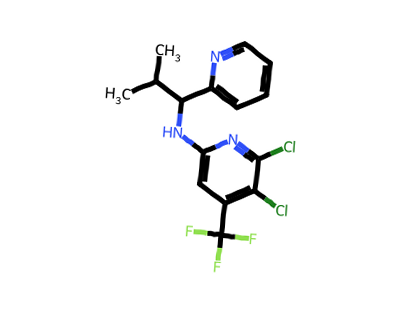 CC(C)C(Nc1cc(C(F)(F)F)c(Cl)c(Cl)n1)c1ccccn1